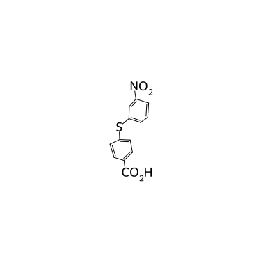 O=C(O)c1ccc(Sc2cccc([N+](=O)[O-])c2)cc1